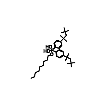 CCCCCCCCCOP(O)(O)(c1ccc(C(C)(C)CC(C)(C)C)cc1)c1ccc(C(C)(C)CC(C)(C)C)cc1